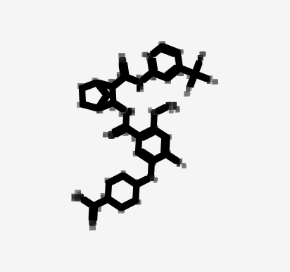 COc1cc(F)c(OC2CCC(C(=O)O)CC2)cc1C(=O)NC1C2CCC(C2)C1C(=O)Nc1cc(C(F)(F)F)ccn1